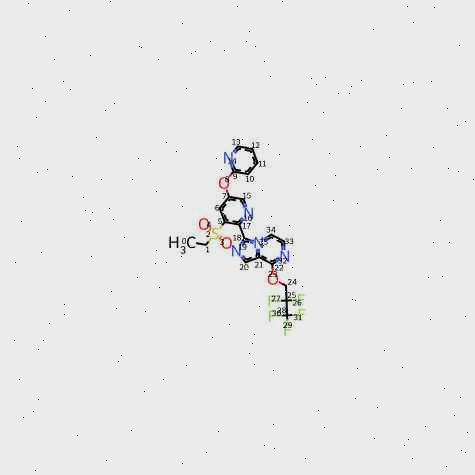 CCS(=O)(=O)c1cc(Oc2ccccn2)cnc1-c1ncc2c(OCC(F)(F)C(F)(F)F)nccn12